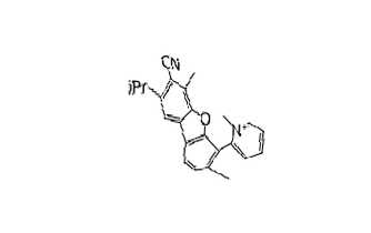 Cc1ccc2c(oc3c(C)c(C#N)c(C(C)C)cc32)c1-c1cccc[n+]1C